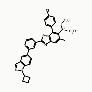 CCOC(=O)[C@@H](OC(C)(C)C)c1c(C)cc2nc(-c3ccnc(-c4ccc5c(cnn5C5CCC5)c4)c3)sc2c1-c1ccc(Cl)cc1